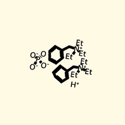 CC[N+](CC)(CC)Cc1ccccc1.CC[N+](CC)(CC)Cc1ccccc1.O=P([O-])([O-])[O-].[H+]